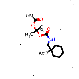 CC(=O)OC1(CNC(=O)OC(C)(C)OC(=O)C(C)(C)C)CCCCC1